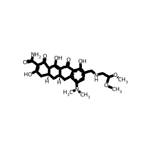 COC(CNCc1cc(N(C)C)c2c(c1O)C(=O)C1=C(O)C3C(=O)C(C(N)=O)=C(O)C[C@@H]3C[C@@H]1C2)OC